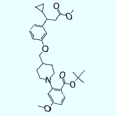 COC(=O)CC(c1cccc(OCC2CCN(c3cc(OC)ccc3C(=O)OC(C)(C)C)CC2)c1)C1CC1